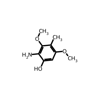 COc1cc(O)c(N)c(OC)c1C